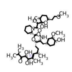 COCC[C@@H]1CC[C@@H](C)[C@](O)(C(=O)C(=O)N2CCCC[C@H]2C(=O)O[C@@H](CC[C@H](C)/C=C(\C)[C@@H](O)[C@@H](O)C(=O)C(C)C)[C@H](N)C[C@@H]2CC[C@@H](O)[C@H](OC)C2)O1